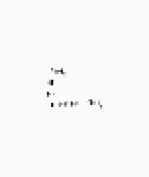 F.F.F.F.F.[PbH2].[SbH3]